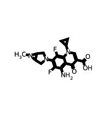 CN1C2CN(c3c(F)c(N)c4c(=O)c(C(=O)O)cn(C5CC5)c4c3F)CC21